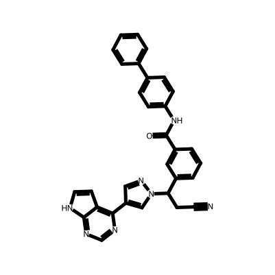 N#CCC(c1cccc(C(=O)Nc2ccc(-c3ccccc3)cc2)c1)n1cc(-c2ncnc3[nH]ccc23)cn1